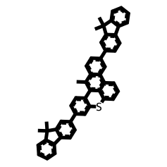 Cc1c2c3c(cccc3c3cc(-c4ccc5c(c4)C(C)(C)c4ccccc4-5)ccc13)Sc1cc(-c3ccc4c(c3)C(C)(C)c3ccccc3-4)ccc1-2